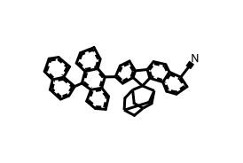 N#Cc1cccc2c3c(ccc12)-c1ccc(-c2c4ccccc4c(-c4cccc5ccccc45)c4ccccc24)cc1C31C2CC3CC(C2)CC1C3